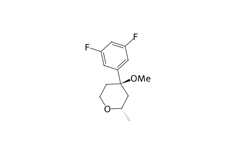 CO[C@]1(c2cc(F)cc(F)c2)CCO[C@@H](C)C1